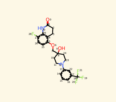 O=C1CCc2c(OCC3(O)CCN(c4cccc(C(F)(F)F)c4)CC3)ccc(F)c2N1